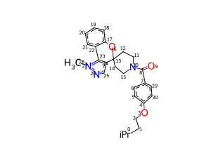 CC(C)CCOc1ccc(C(=O)N2CCC3(CC2)Oc2ccccc2-c2c3cnn2C)cc1